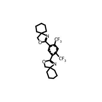 FC(F)(F)c1cc(C(F)(F)F)c(C2=NC3(CCCCC3)CO2)cc1C1=NC2(CCCCC2)CO1